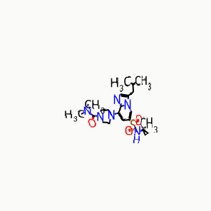 CC(C)Cc1cnc2c(N3CCN(C(=O)N(C)C)CC3)cc(S(=O)(=O)NC3(C)CC3)cn12